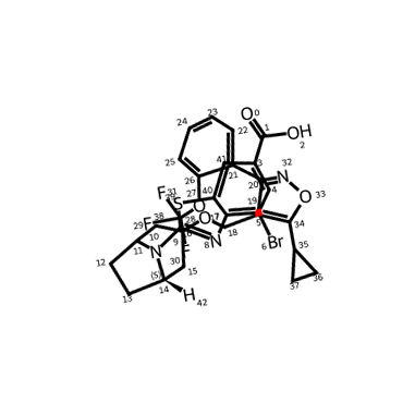 O=C(O)c1cc(Br)c2nc(N3C4CC[C@H]3CC(OCc3c(-c5ccccc5OC(F)(F)F)noc3C3CC3)C4)sc2c1